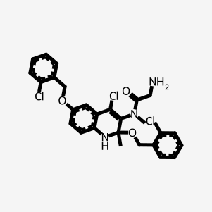 CN(C(=O)CN)C1=C(Cl)c2cc(OCc3ccccc3Cl)ccc2NC1(C)OCc1ccccc1Cl